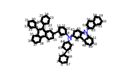 c1ccc(-c2ccc(N(c3cccc(-c4ccc5c(c4)c(-c4ccccc4)c(-c4ccccc4)c4ccccc45)c3)c3ccc4c(c3)c3ccccc3n4-c3ccc4ccccc4c3)cc2)cc1